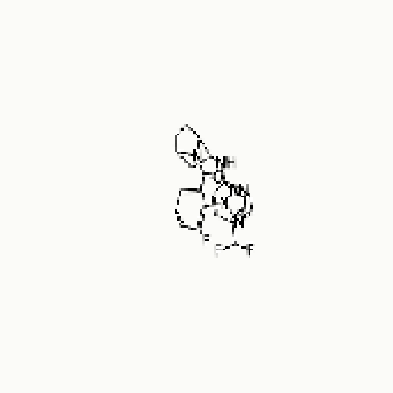 O=C(c1cccc(F)c1-n1nccn1)N1C2CCC1C(Nc1ccc(C(F)F)cn1)C2